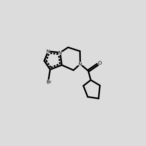 O=C(C1CCCC1)N1CCn2ncc(Br)c2C1